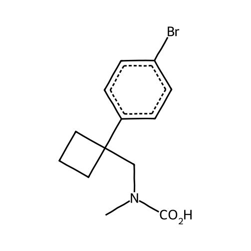 CN(CC1(c2ccc(Br)cc2)CCC1)C(=O)O